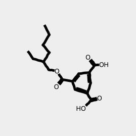 CCCCC(CC)COC(=O)c1cc(C(=O)O)cc(C(=O)O)c1